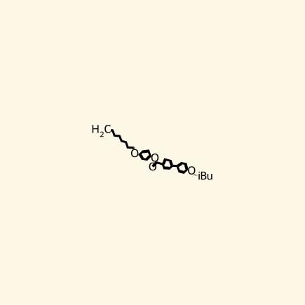 C=CCCCCCCOc1ccc(OC(=O)c2ccc(-c3ccc(OC[C@@H](C)CC)cc3)cc2)cc1